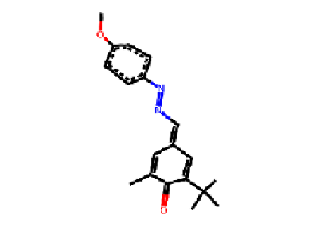 COc1ccc(N=NC=C2C=C(C)C(=O)C(C(C)(C)C)=C2)cc1